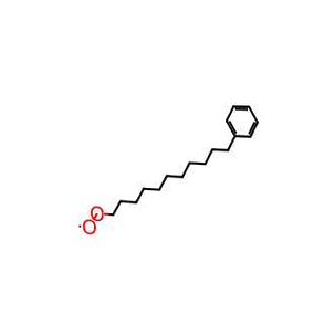 [O]OCCCCCCCCCCCc1ccccc1